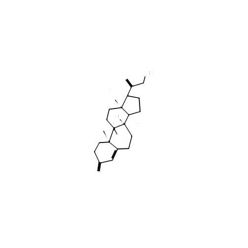 C[C@]12CCC(=O)C=C1CC[C@H]1[C@@H]3CC[C@](O)(C(=O)CO)[C@@]3(C)CCC12O